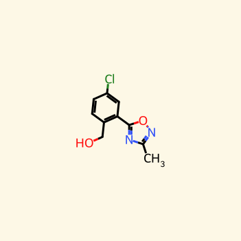 Cc1noc(-c2cc(Cl)ccc2CO)n1